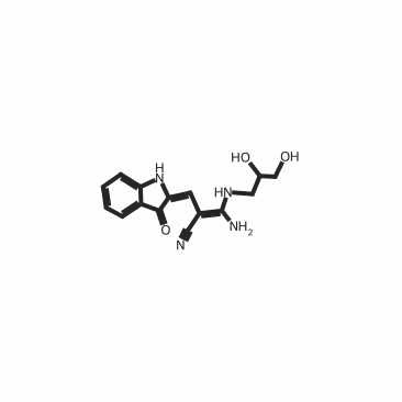 N#CC(/C=C1/Nc2ccccc2C1=O)=C(\N)NCC(O)CO